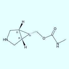 CNC(=O)OC[C@@H]1[C@@H]2CNC[C@@H]21